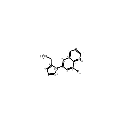 NCc1ncnn1-c1cc(F)c2ncccc2c1